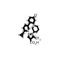 O=C(O)c1cnn(C2CCCN(c3cc(Cl)ccc3-c3ccc(C4CC4)nc3)C2)c1C(F)(F)F